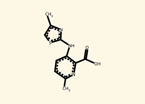 Cc1csc(Nc2ccc(C)nc2C(=O)O)n1